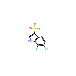 O=S(=O)(Cl)c1c[nH]c2c(F)c(Cl)ccc12